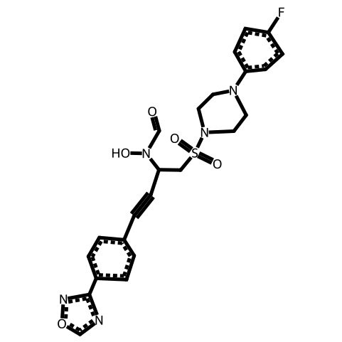 O=CN(O)C(C#Cc1ccc(-c2ncon2)cc1)CS(=O)(=O)N1CCN(c2ccc(F)cc2)CC1